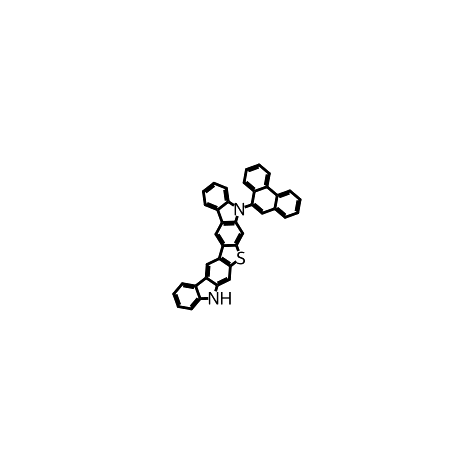 c1ccc2c(c1)cc(-n1c3ccccc3c3cc4c(cc31)sc1cc3[nH]c5ccccc5c3cc14)c1ccccc12